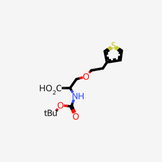 CC(C)(C)OC(=O)NC(COCCc1ccsc1)C(=O)O